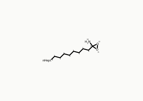 CCCCCCCCCCCCCCCC1(N)OO1